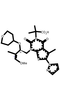 CO/C=C(/C)[C@H](Cn1c(=O)n(C(C)(C)C(=O)O)c(=O)c2c(C)c(-n3cccn3)sc21)OC1CCOCC1